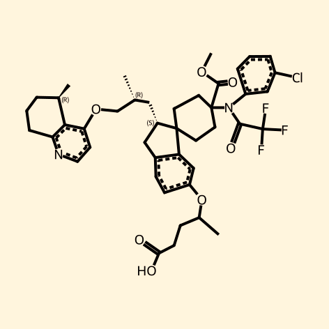 COC(=O)C1(N(C(=O)C(F)(F)F)c2cccc(Cl)c2)CCC2(CC1)c1cc(OC(C)CCC(=O)O)ccc1C[C@@H]2C[C@@H](C)COc1ccnc2c1[C@H](C)CCC2